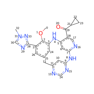 COc1c(Nc2cc(Nc3cc(C)ncn3)ncc2C(=O)C2CC2)cccc1-c1ncn(C)n1